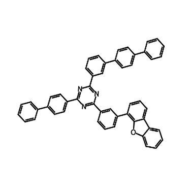 c1ccc(-c2ccc(-c3cccc(-c4nc(-c5ccc(-c6ccccc6)cc5)nc(-c5cccc(-c6cccc7c6oc6ccccc67)c5)n4)c3)cc2)cc1